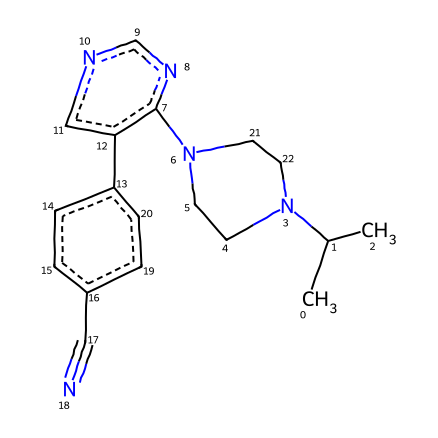 CC(C)N1CCN(c2ncncc2-c2ccc(C#N)cc2)CC1